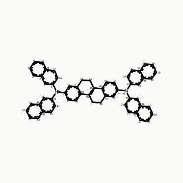 c1ccc2cc(N(c3ccc4c(c3)CCC3=C4CCc4cc(N(c5ccc6ccccc6c5)c5ccc6ccccc6c5)ccc43)c3ccc4ccccc4c3)ccc2c1